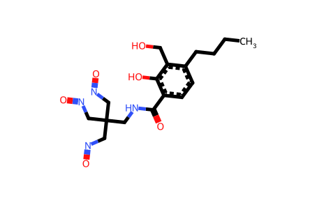 CCCCc1ccc(C(=O)NCC(CN=O)(CN=O)CN=O)c(O)c1CO